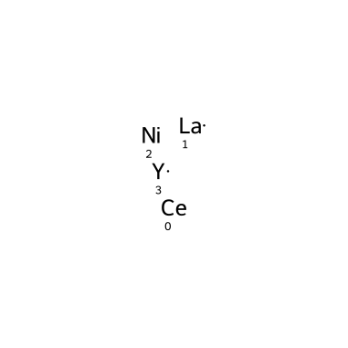 [Ce].[La].[Ni].[Y]